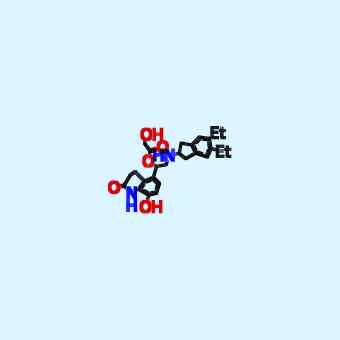 CCc1cc2c(cc1CC)CC(NCC(OC(=O)CO)c1ccc(O)c3c1CCC(=O)N3)C2